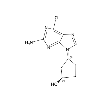 Nc1nc(Cl)c2ncn([C@@H]3CC[C@@H](O)C3)c2n1